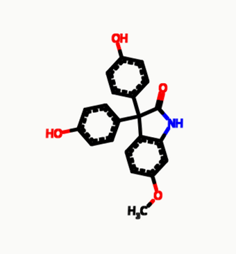 COc1ccc2c(c1)NC(=O)C2(c1ccc(O)cc1)c1ccc(O)cc1